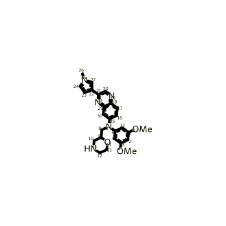 COc1cc(OC)cc(N(CC2CNCCO2)c2ccc3ncc(-c4ccn(C)c4)nc3c2)c1